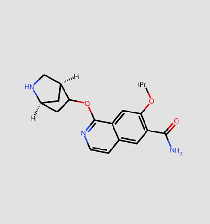 CC(C)Oc1cc2c(OC3C[C@@H]4C[C@H]3CN4)nccc2cc1C(N)=O